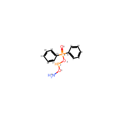 NOPOP(=O)(c1ccccc1)c1ccccc1